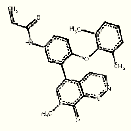 C=CC(=O)Nc1ccc(Oc2c(C)cccc2C)c(-c2cn(C)c(=O)c3nnccc23)c1